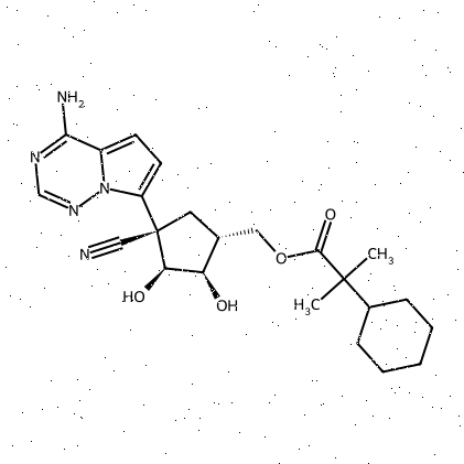 CC(C)(C(=O)OC[C@H]1C[C@@](C#N)(c2ccc3c(N)ncnn23)[C@H](O)[C@@H]1O)C1CCCCC1